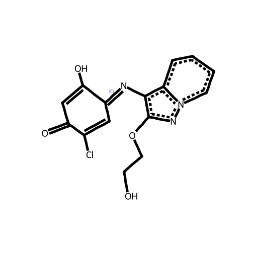 O=C1C=C(O)/C(=N/c2c(OCCO)nn3ccccc23)C=C1Cl